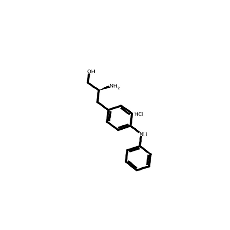 Cl.N[C@H](CO)Cc1ccc(Nc2ccccc2)cc1